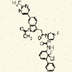 CC(=O)n1cc(CC(=O)N2C[C@H](F)C[C@H]2C(=O)NC2C=CC=C(c3ccccc3)C2(F)Cl)c2ccc(-c3cnc(C)nc3)cc21